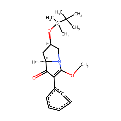 COC1=C(c2ccccc2)C(=O)[C@H]2C[C@@H](O[Si](C)(C)C(C)(C)C)CN12